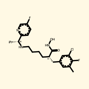 Cc1cc(C[C@H](CCCCN[C@@H](c2ccc(F)cn2)C(C)C)C(=O)NO)cc(Cl)c1F